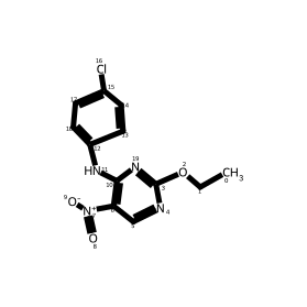 CCOc1ncc([N+](=O)[O-])c(Nc2ccc(Cl)cc2)n1